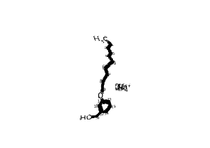 CCCCCCCCCCOc1cccc(CO)c1.[BH4-].[Na+]